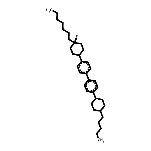 CCCCCCCC1(F)CCC(c2ccc(-c3ccc(C4CCC(CCCCC)CC4)cc3)cc2)CC1